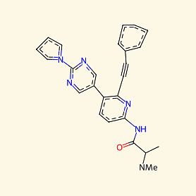 CNC(C)C(=O)Nc1ccc(-c2cnc(-n3cccc3)nc2)c(C#Cc2ccccc2)n1